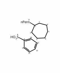 CCCCCC1CCCCCC1.O=S(=O)(O)c1ccccc1